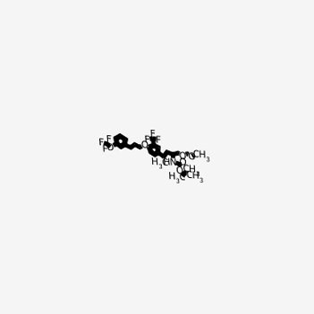 COCOCC(CC(C)c1ccc(OCCCc2cccc(OC(F)(F)F)c2)c(C(F)(F)F)c1)NC(=O)OC(C)(C)C